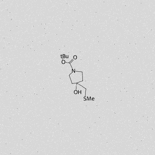 CSCC1(O)CCN(C(=O)OC(C)(C)C)CC1